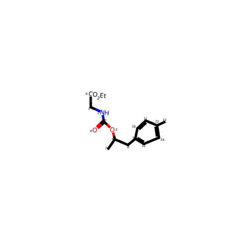 CCOC(=O)CNC(=O)OC(C)Cc1ccc(C)cc1